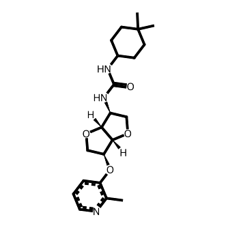 Cc1ncccc1O[C@H]1CO[C@H]2[C@@H]1OC[C@@H]2NC(=O)NC1CCC(C)(C)CC1